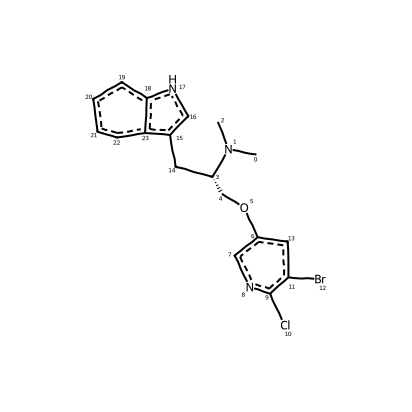 CN(C)[C@H](COc1cnc(Cl)c(Br)c1)Cc1c[nH]c2ccccc12